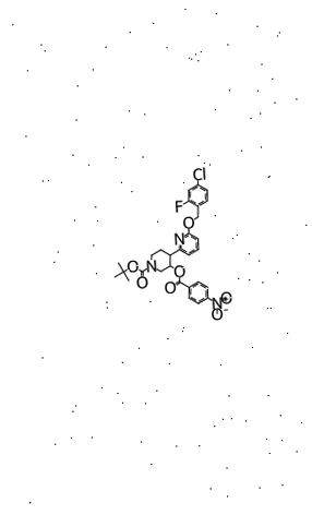 CC(C)(C)OC(=O)N1CCC(c2cccc(OCc3ccc(Cl)cc3F)n2)C(OC(=O)c2ccc([N+](=O)[O-])cc2)C1